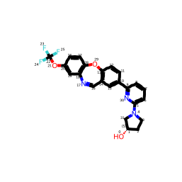 O[C@H]1CCN(c2cccc(-c3ccc4c(c3)C=Nc3cc(OC(F)(F)F)ccc3O4)n2)C1